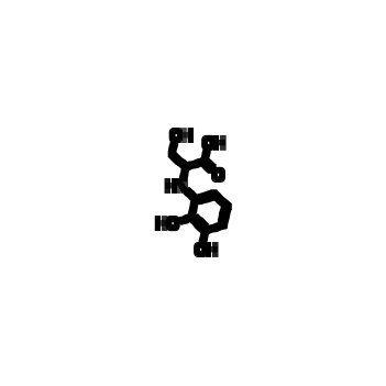 O=C(O)C(CO)Nc1cccc(O)c1O